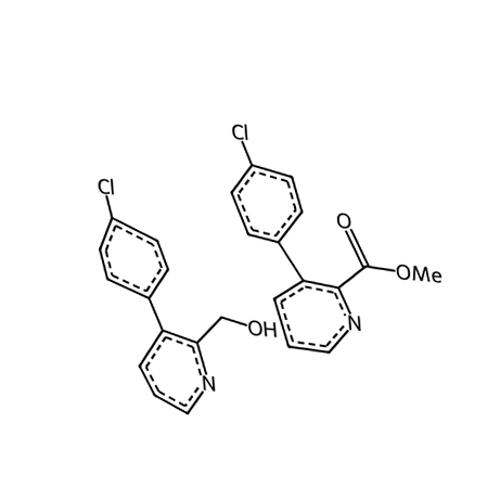 COC(=O)c1ncccc1-c1ccc(Cl)cc1.OCc1ncccc1-c1ccc(Cl)cc1